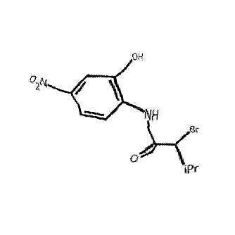 CC(C)C(Br)C(=O)Nc1ccc([N+](=O)[O-])cc1O